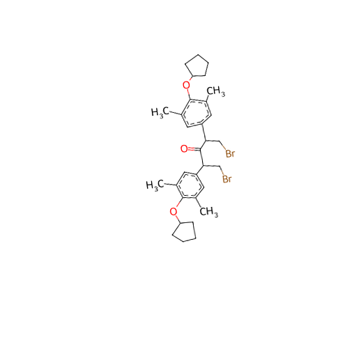 Cc1cc(C(CBr)C(=O)C(CBr)c2cc(C)c(OC3CCCC3)c(C)c2)cc(C)c1OC1CCCC1